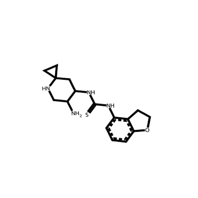 NC1CNC2(CC2)CC1NC(=S)Nc1cccc2c1CCO2